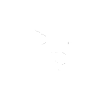 CC(C)OC(=O)[C@H](CCC(=O)C=[N+]=[N-])NC(=O)[C@@H](OC1CC1)C1CCCCC1